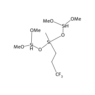 CO[SiH](OC)O[Si](C)(CCC(F)(F)F)O[SiH](OC)OC